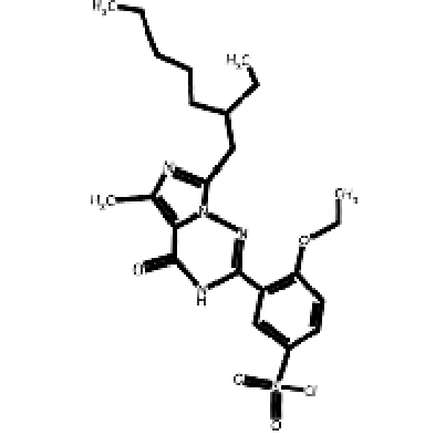 CCCCCC(CC)Cc1nc(C)c2c(=O)[nH]c(-c3cc(S(=O)(=O)Cl)ccc3OCC)nn12